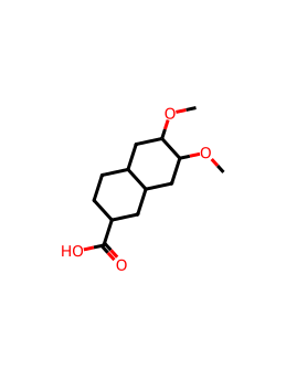 COC1CC2CCC(C(=O)O)CC2CC1OC